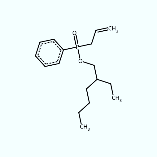 C=CCP(=O)(OCC(CC)CCCC)c1ccccc1